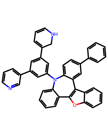 C1=CNCC(c2cc(-c3cccnc3)cc(N3c4ccccc4-c4oc5ccccc5c4-c4cc(-c5ccccc5)ccc43)c2)=C1